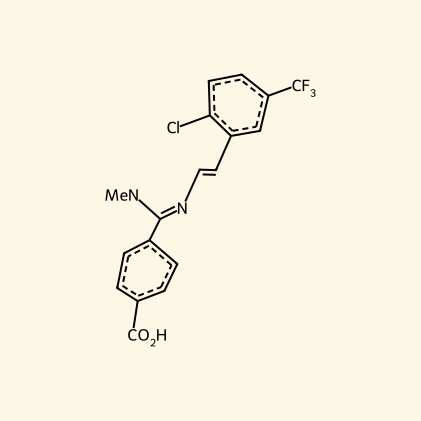 CN/C(=N\C=C\c1cc(C(F)(F)F)ccc1Cl)c1ccc(C(=O)O)cc1